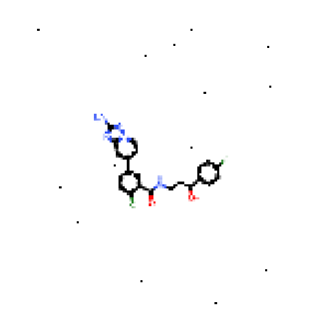 Nc1nc2cc(-c3ccc(Cl)c(C(=O)NCCC(O)c4ccc(Cl)cc4)c3)ccn2n1